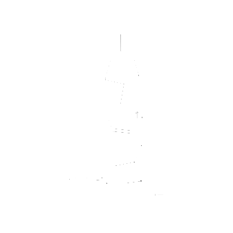 CC1CCC(c2nc3cc(C(C)(C)O)c(NC=O)cc3s2)CC1